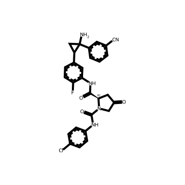 N#Cc1cccc(C2(N)CC2c2ccc(F)c(NC(=O)[C@H]3CC(=O)CN3C(=O)Nc3ccc(Cl)cc3)c2)c1